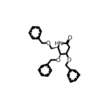 O=C1CC(OCc2ccccc2)[C@@H](OCc2ccccc2)[C@@H](COCc2ccccc2)N1